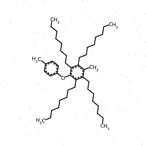 CCCCCCCCc1c(C)c(CCCCCCCC)c(CCCCCCCC)c(Oc2ccc(C)cc2)c1CCCCCCCC